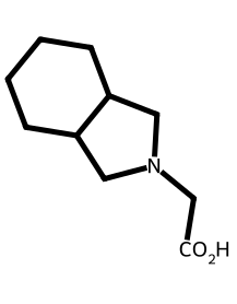 O=C(O)CN1CC2CCCCC2C1